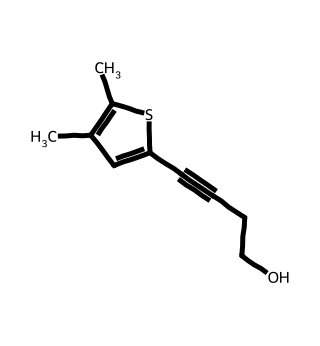 Cc1cc(C#CCCO)sc1C